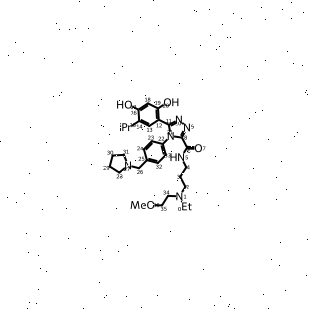 CCN(CCCNC(=O)c1nnc(-c2cc(C(C)C)c(O)cc2O)n1-c1ccc(CN2CCCC2)cc1)CCOC